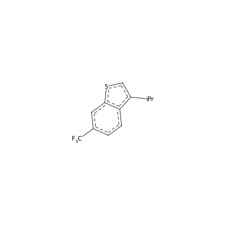 CC(C)c1csc2cc(C(F)(F)F)ccc12